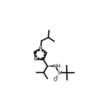 CC(C)Cn1cnc([C@@H](N[S@@+]([O-])C(C)(C)C)C(C)C)c1